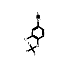 N#[N+]c1ccc(OC(F)(F)F)c(Cl)c1